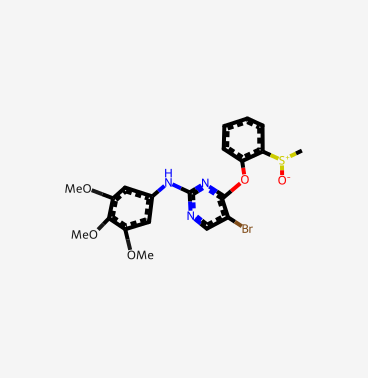 COc1cc(Nc2ncc(Br)c(Oc3ccccc3[S+](C)[O-])n2)cc(OC)c1OC